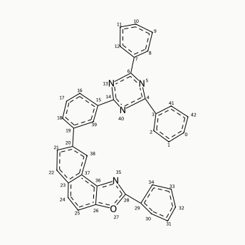 c1ccc(-c2nc(-c3ccccc3)nc(-c3cccc(-c4ccc5ccc6oc(-c7ccccc7)nc6c5c4)c3)n2)cc1